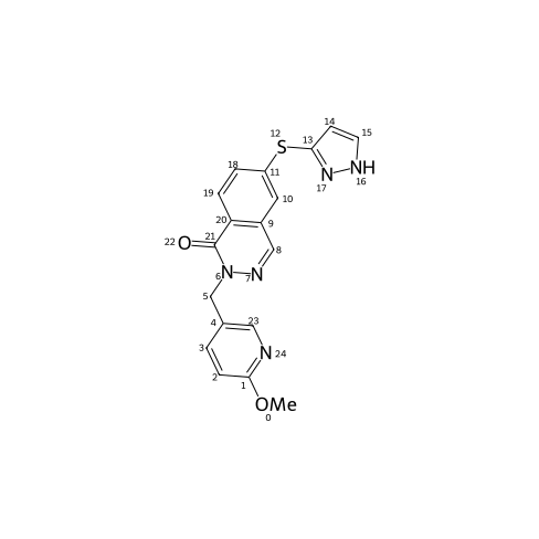 COc1ccc(Cn2ncc3cc(Sc4cc[nH]n4)ccc3c2=O)cn1